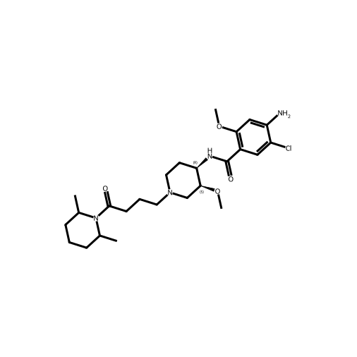 COc1cc(N)c(Cl)cc1C(=O)N[C@@H]1CCN(CCCC(=O)N2C(C)CCCC2C)C[C@@H]1OC